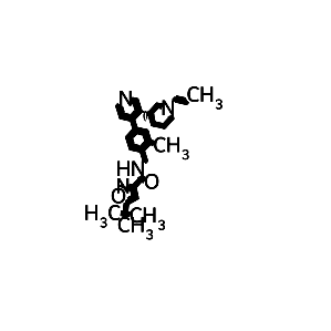 CC=CN1CCC[C@H](c2cnccc2-c2ccc(CNC(=O)c3cc(C(C)(C)C)on3)c(C)c2)C1